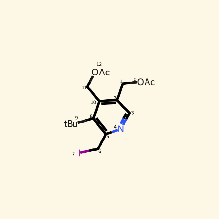 CC(=O)OCc1cnc(CI)c(C(C)(C)C)c1COC(C)=O